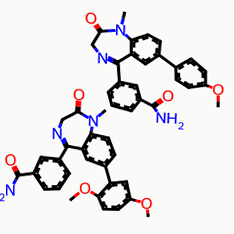 COc1ccc(-c2ccc3c(c2)C(c2cccc(C(N)=O)c2)=NCC(=O)N3C)cc1.COc1ccc(OC)c(-c2ccc3c(c2)C(c2cccc(C(N)=O)c2)=NCC(=O)N3C)c1